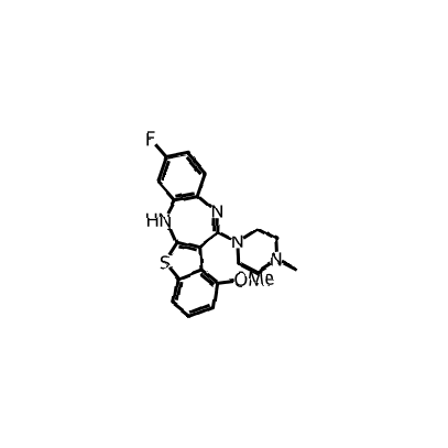 COc1cccc2sc3c(c12)C(N1CCN(C)CC1)=Nc1ccc(F)cc1N3